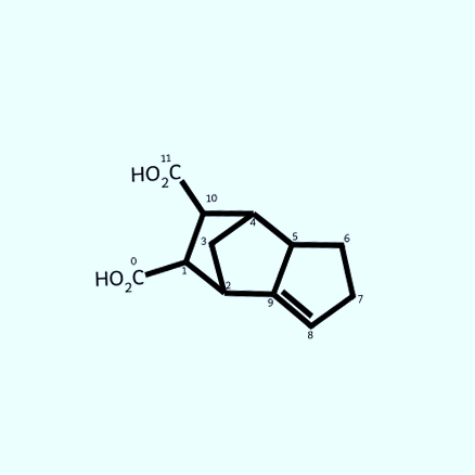 O=C(O)C1C2CC(C3CCC=C32)C1C(=O)O